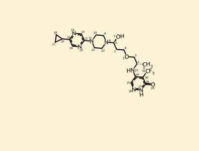 C[C@@H](COCC[C@H](O)N1CCN(c2cnc(C3CC3)cn2)CC1)Nc1cn[nH]c(=O)c1C(F)(F)F